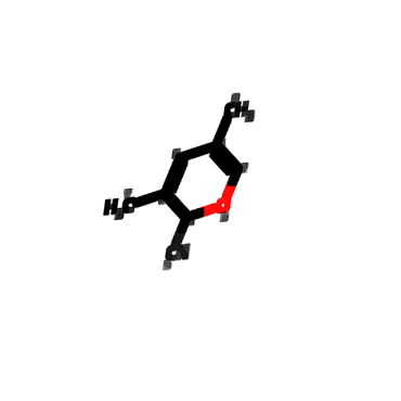 CC1=COC(C#N)C(C)=C1